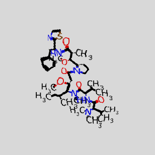 CC[C@H](C)[C@@H]([C@@H](CC(=O)N1CCC[C@H]1[C@H](OC)[C@@H](C)C(=O)N[C@@H](Cc1ccccc1)c1nccs1)OC)N(C)C(=O)[C@@H](NC(=O)C(C(C)C)N(C)C)C(C)C